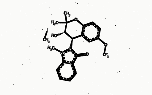 CI.Cn1c2ccccc2c(=O)n1[C@@H]1c2cc(OC(F)(F)F)ccc2OC(C)(C)[C@H]1O